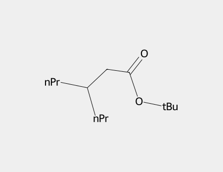 CCCC(CCC)CC(=O)OC(C)(C)C